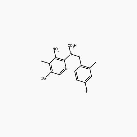 Cc1cc(F)ccc1CN(C(=O)O)c1ncc(C(C)(C)C)c(C)c1[N+](=O)[O-]